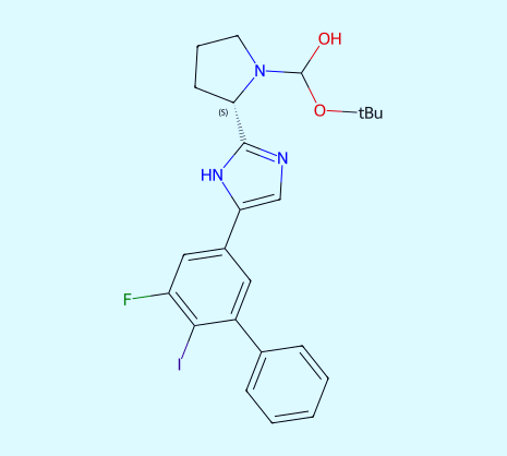 CC(C)(C)OC(O)N1CCC[C@H]1c1ncc(-c2cc(F)c(I)c(-c3ccccc3)c2)[nH]1